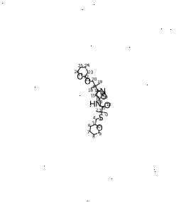 CC(C)(SC[C@@H]1CCCCO1)C(=O)Nc1cc(C(C)(C)COC2CCCCO2)no1